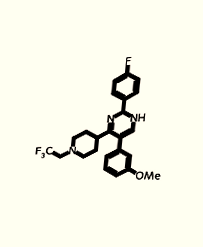 COc1cccc(C2=CNC(c3ccc(F)cc3)N=C2C2CCN(CC(F)(F)F)CC2)c1